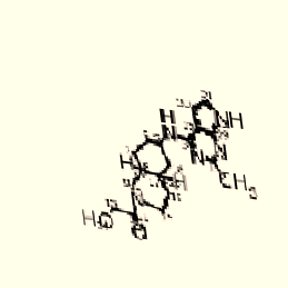 Cc1nc(NC2CC[C@H]3CN(C(=O)CO)CC[C@H]3C2)c2cc[nH]c2n1